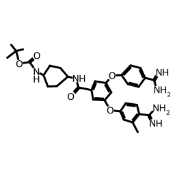 Cc1cc(Oc2cc(Oc3ccc(C(=N)N)cc3)cc(C(=O)NC3CCC(NC(=O)OC(C)(C)C)CC3)c2)ccc1C(=N)N